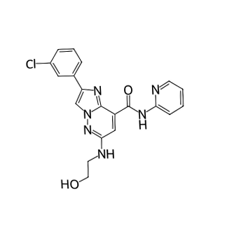 O=C(Nc1ccccn1)c1cc(NCCO)nn2cc(-c3cccc(Cl)c3)nc12